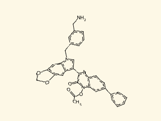 CC(=O)On1c(=O)c(-c2cn(Cc3cccc(CN)c3)c3cc4c(cc23)OCO4)nc2ccc(-c3ccccc3)cc21